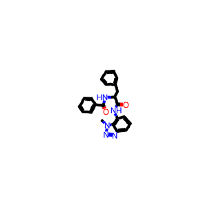 Cn1nnc2cccc(NC(=O)C(Cc3ccccc3)NC(=O)c3ccccc3)c21